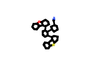 N#Cc1cccc(-c2c(-c3cccc4oc5ccccc5c34)cccc2-c2cccc3sc4ccccc4c23)c1